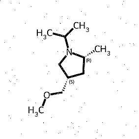 COC[C@H]1C[C@@H](C)N(C(C)C)C1